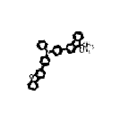 CC1(C)c2ccccc2-c2cc(-c3ccc(N(c4ccccc4)c4ccc(-c5ccc6c(c5)oc5ccccc56)cc4)cc3)ccc21